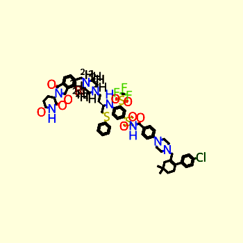 [2H]C1([2H])N(CC[C@H](CSc2ccccc2)Nc2ccc(S(=O)(=O)NC(=O)c3ccc(N4CCN(CC5=C(c6ccc(Cl)cc6)CCC(C)(C)C5)CC4)cc3)cc2S(=O)(=O)C(F)(F)F)C([2H])([2H])C([2H])([2H])N(Cc2ccc3c(c2Br)C(=O)N(C2CCC(=O)NC2=O)C3=O)C1([2H])[2H]